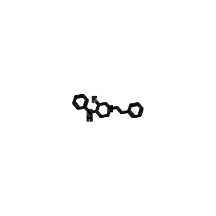 FC1CN(CCc2ccccc2)CCC1Nc1ccccc1